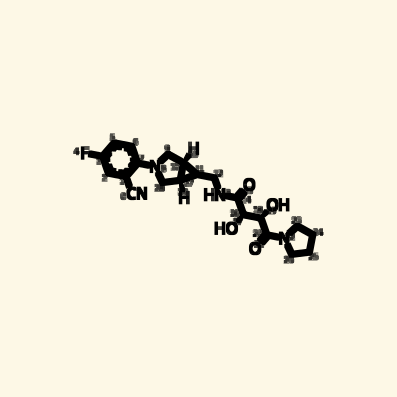 N#Cc1cc(F)ccc1N1C[C@@H]2C(CNC(=O)[C@H](O)[C@@H](O)C(=O)N3CCCC3)[C@@H]2C1